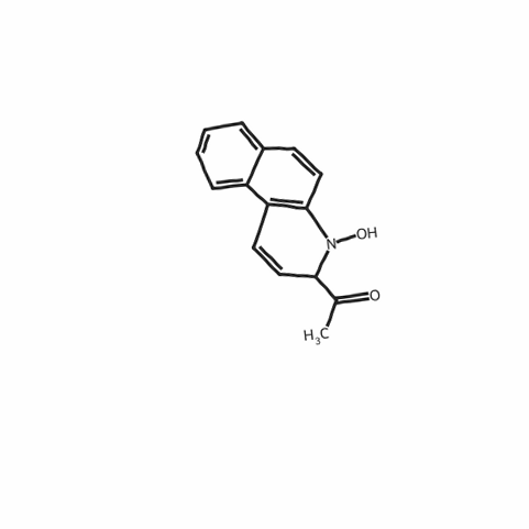 CC(=O)C1C=Cc2c(ccc3ccccc23)N1O